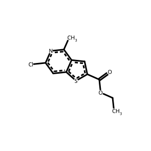 CCOC(=O)c1cc2c(C)nc(Cl)cc2s1